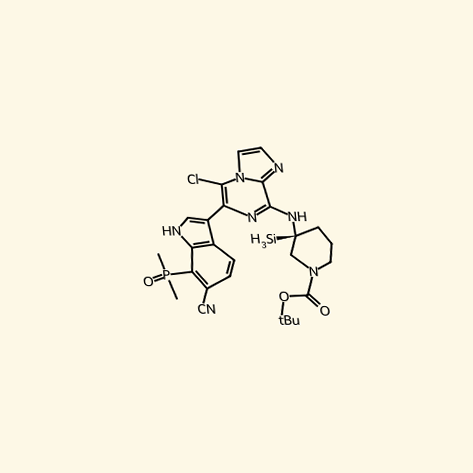 CC(C)(C)OC(=O)N1CCC[C@@]([SiH3])(Nc2nc(-c3c[nH]c4c(P(C)(C)=O)c(C#N)ccc34)c(Cl)n3ccnc23)C1